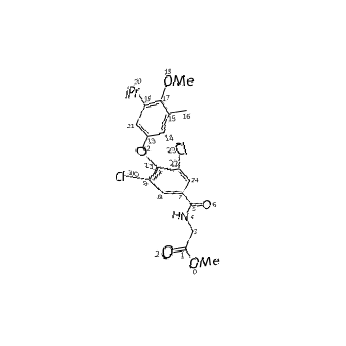 COC(=O)CNC(=O)c1cc(Cl)c(Oc2cc(C)c(OC)c(C(C)C)c2)c(Cl)c1